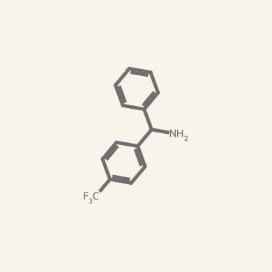 NC(c1cc[c]cc1)c1ccc(C(F)(F)F)cc1